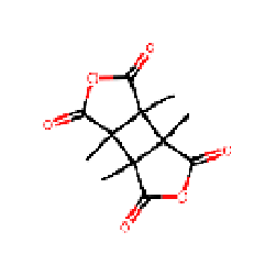 CC12C(=O)OC(=O)C1(C)C1(C)C(=O)OC(=O)C21C